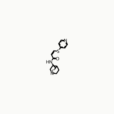 O=C(/C=C\Sc1ccncc1)NC1CN2CCC1CC2